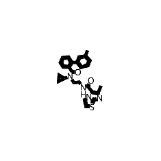 Cc1cccc(-c2ccccc2C(=O)N(CCNC(=O)c2c(C)nc3sccn23)C2CC2)c1